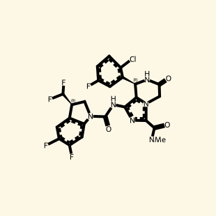 CNC(=O)c1nc(NC(=O)N2C[C@H](C(F)F)c3cc(F)c(F)cc32)c2n1CC(=O)N[C@@H]2c1cc(F)ccc1Cl